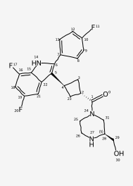 O=C([C@H]1C[C@H](c2c(-c3ccc(F)cc3)[nH]c3c(F)cc(F)cc32)C1)N1CCN[C@H](CO)C1